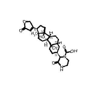 C[C@]12CC[C@H](C3C(=O)NCCN3C(=O)O)C[C@H]1CC[C@@H]1[C@@H]2CC[C@]2(C)[C@@H](C3=CC(=O)OC3)CC[C@]12O